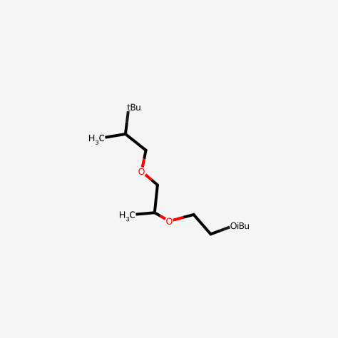 CC(C)COCCOC(C)COCC(C)C(C)(C)C